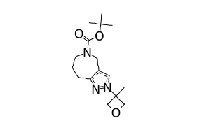 CC(C)(C)OC(=O)N1CCCc2nn(C3(C)COC3)cc2C1